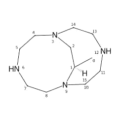 C[C@@H]1CN2CCNCCN1CCNCC2